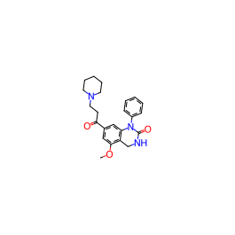 COc1cc(C(=O)CCN2CCCCC2)cc2c1CNC(=O)N2c1ccccc1